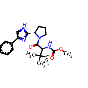 COC(=O)N[C@H](C(=O)N1CCC[C@H]1c1nc(-c2ccccc2)c[nH]1)C(C)(C)C